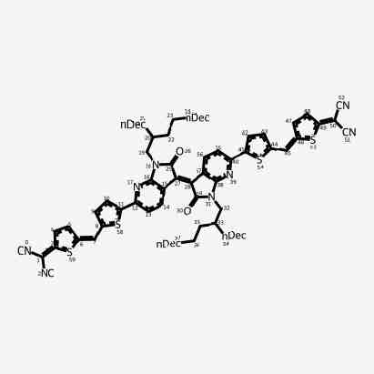 [C-]#[N+]C([N+]#[C-])=c1cc/c(=C\c2ccc(-c3ccc4c(n3)N(CC(CCCCCCCCCC)CCCCCCCCCCCC)C(=O)/C4=C3/C(=O)N(CC(CCCCCCCCCC)CCCCCCCCCCCC)c4nc(-c5ccc(/C=c6\ccc(=C(C#N)C#N)s6)s5)ccc43)s2)s1